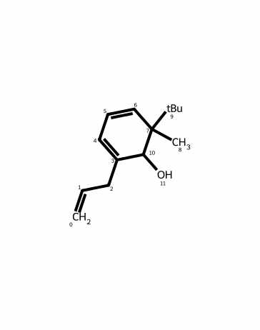 C=CCC1=CC=CC(C)(C(C)(C)C)C1O